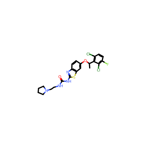 CC(Oc1ccc2nc(NC(=O)NCCN3CCCC3)sc2c1)c1c(Cl)ccc(F)c1Cl